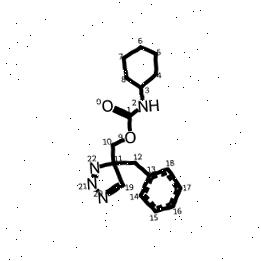 O=C(NC1CCCCC1)OCC1(Cc2ccccc2)C=NN=N1